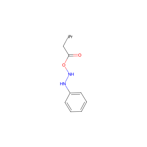 CC(C)CC(=O)ONNc1ccccc1